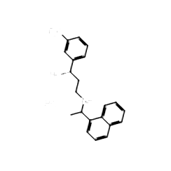 CC(NCC[C@@H](O)c1cccc(C(F)(F)F)c1)c1cccc2ccccc12.Cl